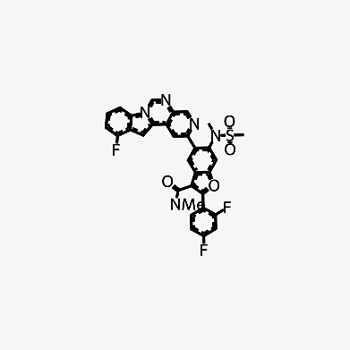 CNC(=O)c1c(-c2ccc(F)cc2F)oc2cc(N(C)S(C)(=O)=O)c(-c3cc4c(cn3)ncn3c5cccc(F)c5cc43)cc12